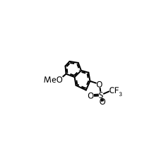 COc1cccc2cc(OS(=O)(=O)C(F)(F)F)ccc12